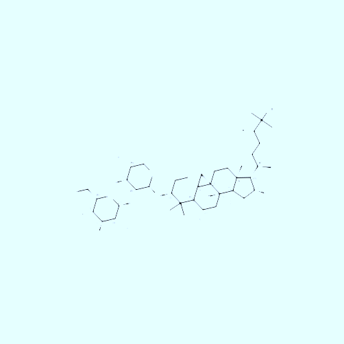 C[C@H](CC[C@H](O)C(C)(C)O)[C@H]1[C@@H](O)C[C@@]2(C)[C@@H]3C[C@H](O)[C@H]4C(C)(C)[C@@H](O[C@@H]5OC[C@@H](O)[C@H](O)[C@H]5O[C@@H]5O[C@H](CO)[C@@H](O)[C@H](O)[C@H]5O)CC[C@@]45C[C@@]35CC[C@]12C